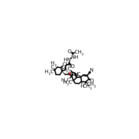 CC(=O)/C=C1/[C@@]2(C)C=C(C#N)C(=O)C(C)(C)[C@@H]2CC[C@@]1(C)C(C)(C)CC[C@@]1(CCC(=O)NNC(C)=O)CCC(C)(C)CC1C